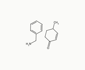 CC1C=CC(=O)CC1.NCc1ccccc1